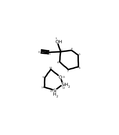 C#CC1(O)CCCCC1.C1CO[SiH2][SiH2]C1